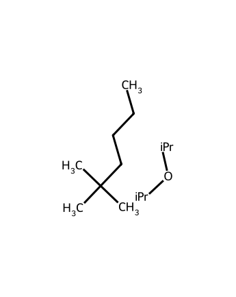 CC(C)OC(C)C.CCCCC(C)(C)C